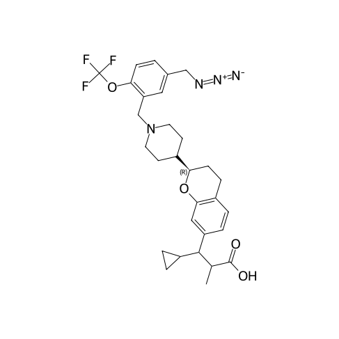 CC(C(=O)O)C(c1ccc2c(c1)O[C@@H](C1CCN(Cc3cc(CN=[N+]=[N-])ccc3OC(F)(F)F)CC1)CC2)C1CC1